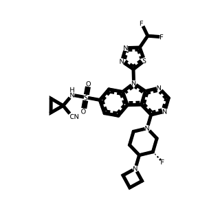 N#CC1(NS(=O)(=O)c2ccc3c4c(N5CCC(N6CCC6)[C@@H](F)C5)ncnc4n(-c4nnc(C(F)F)s4)c3c2)CC1